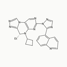 CC[C@@H]1c2nncn2-c2cnc(-n3ncnc3-c3cccc4ncccc34)nc2N1C1CCC1